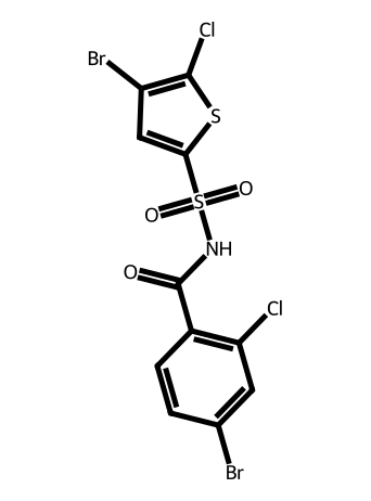 O=C(NS(=O)(=O)c1cc(Br)c(Cl)s1)c1ccc(Br)cc1Cl